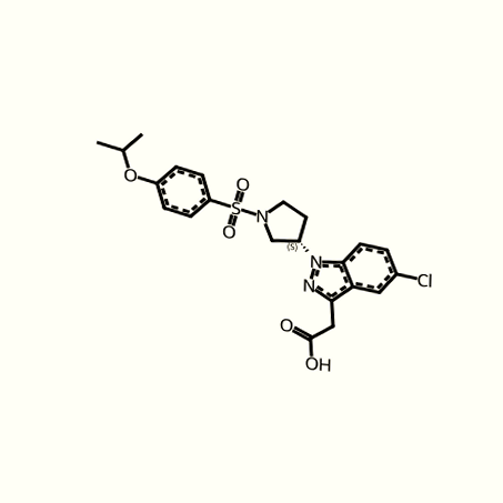 CC(C)Oc1ccc(S(=O)(=O)N2CC[C@H](n3nc(CC(=O)O)c4cc(Cl)ccc43)C2)cc1